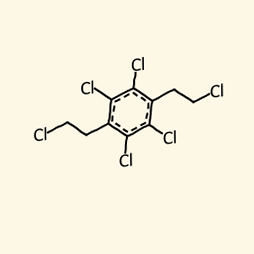 ClCCc1c(Cl)c(Cl)c(CCCl)c(Cl)c1Cl